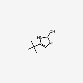 CC(C)(C)C1=CNC(O)N1